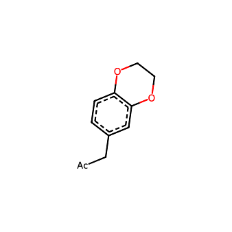 CC(=O)Cc1ccc2c(c1)OCCO2